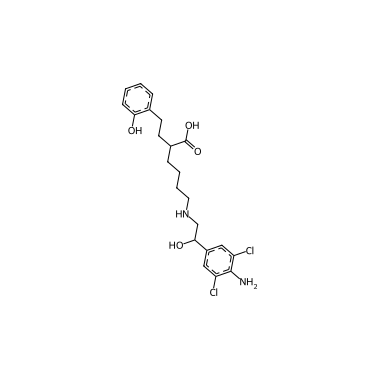 Nc1c(Cl)cc(C(O)CNCCCCC(CCc2ccccc2O)C(=O)O)cc1Cl